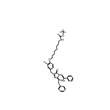 CC(C)(C)OC(=O)NCCCCCCCCOc1ccc(Cc2nc3c(Cc4ccccc4)[nH]c(-c4ccccc4)cn-3c2=O)cc1F